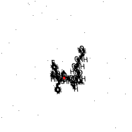 CC(C)CC(NC(=O)C(CCC1CCCCC1)NC(=O)[C@@H]1CCCN1C(=O)c1ccc(F)cc1)C(=O)NC(C)(C)C(=O)NC(CC(C)C)C(=O)NC(CC(C)C)C(=O)NC(C)(C)C(=O)NC(C)(C)C(=O)NCCC(=O)NCCN1CCOCC1